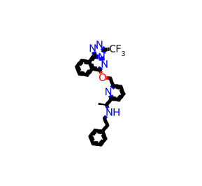 C[C@H](NCCc1ccccc1)c1cccc(COc2nn3c(C(F)(F)F)nnc3c3ccccc23)n1